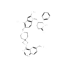 Cc1c(CN2CCC3(CC2)CN(c2ncnc4ccc(CC(F)(F)F)cc24)C3)ccc2c1cc(C#N)n2C[C@@H]1CCC(=O)N[C@H]1c1ccccc1